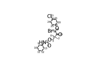 CC(C)(COC(=O)Nc1ccccc1)C(=O)C(Br)Oc1ccc(Cl)cc1